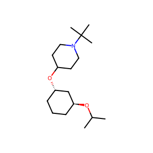 CC(C)O[C@H]1CCC[C@H](OC2CCN(C(C)(C)C)CC2)C1